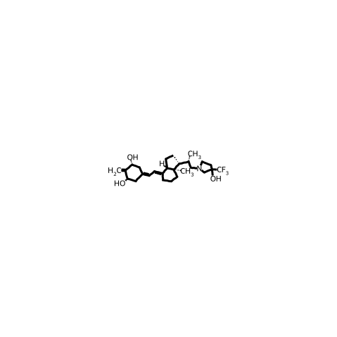 C=C1[C@H](O)CC(=C/C=C2\CCC[C@]3(C)[C@@H]([C@H](C)CN4CCC(O)(C(F)(F)F)C4)CC[C@@H]23)C[C@H]1O